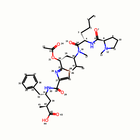 CCCC[C@H](NC(=O)[C@H]1CCCN1C)C(=O)N(C)[C@H](C[C@@H](OC(C)=O)c1nc(C(=O)N[C@@H](Cc2ccccc2)C[C@H](C)C(=O)O)cs1)C(C)C